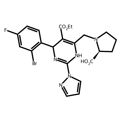 CCOC(=O)C1=C(CN2CCC[C@H]2C(=O)O)NC(n2cccn2)=NC1c1ccc(F)cc1Br